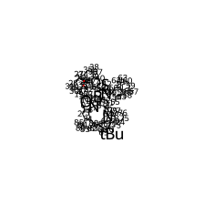 Cc1cc2c3cc1N1c4cc(cc5c4B4c6c1oc1cc7c(cc61)C(C)C(C)(CC7(C)C)C1(C)CCC(C)(C)c6cc7sc(c4c7cc61)N5c1cc4c(cc1C)C(C)(C)CCC4(C)C)N1c4cc(c(C(C)(C)C)cc4C4(C)CCCCC14C)C3(C)CCC2(C)C